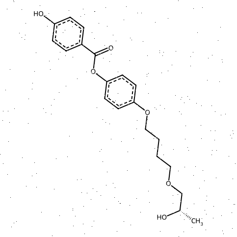 C[C@H](O)COCCCCOc1ccc(OC(=O)c2ccc(O)cc2)cc1